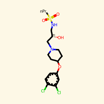 CCCS(=O)(=O)NC[C@H](O)CN1CCC(Oc2ccc(Cl)c(Cl)c2)CC1